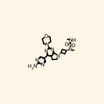 CNS(=O)(=O)N(C)[C@H]1C[C@@H](N2CCc3c(-c4cnc(N)nc4)nc(N4CCOCC4)nc32)C1